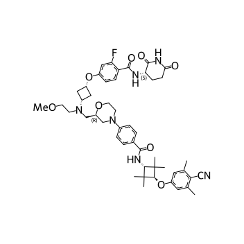 COCCN(C[C@@H]1CN(c2ccc(C(=O)N[C@H]3C(C)(C)[C@H](Oc4cc(C)c(C#N)c(C)c4)C3(C)C)cc2)CCO1)[C@H]1C[C@@H](Oc2ccc(C(=O)N[C@H]3CCC(=O)NC3=O)c(F)c2)C1